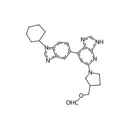 O=COCC1CCN(c2cc(-c3ccc4c(c3)ncn4C3CCCCC3)c3nc[nH]c3n2)C1